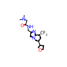 CN(C)CC(=O)NCc1cn2cc(-c3ccoc3)cc(C(F)(F)F)c2n1